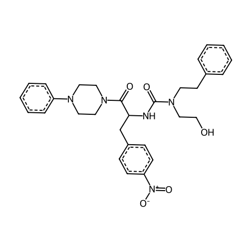 O=C(NC(Cc1ccc([N+](=O)[O-])cc1)C(=O)N1CCN(c2ccccc2)CC1)N(CCO)CCc1ccccc1